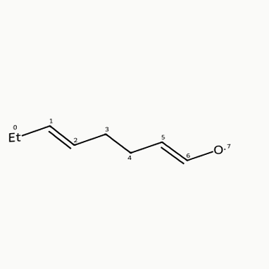 CCC=CCCC=C[O]